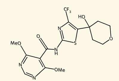 COc1ncnc(OC)c1C(=O)Nc1nc(C(F)(F)F)c(C2(O)CCOCC2)s1